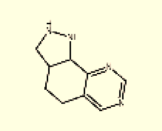 c1ncc2c(n1)C1NNCC1CC2